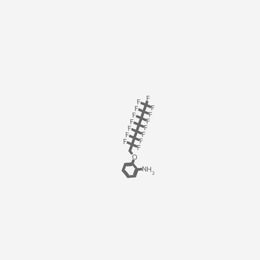 Nc1ccccc1OCC(F)(F)C(F)(F)C(F)(F)C(F)(F)C(F)(F)C(F)(F)C(F)(F)F